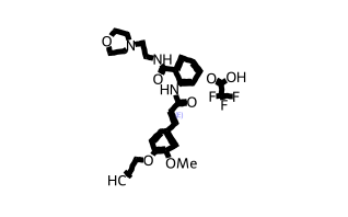 C#CCOc1ccc(/C=C/C(=O)Nc2ccccc2C(=O)NCCN2CCOCC2)cc1OC.O=C(O)C(F)(F)F